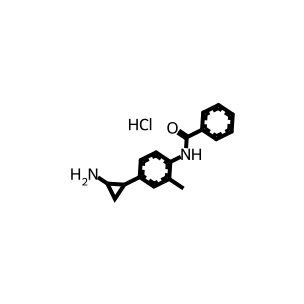 Cc1cc(C2CC2N)ccc1NC(=O)c1ccccc1.Cl